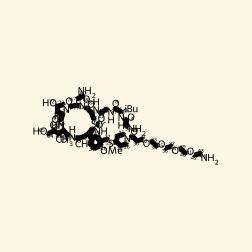 CCC(C)[C@H](NC(=O)CN)C(=O)NCC(=O)NC1C[S+]([O-])c2[nH]c3c(CSC4CCN(C(=O)CCOCCOCCOCCOCCN)CC4)c(OC)ccc3c2C[C@@H](C)NC(=O)[C@H]([C@@H](C)[C@@H](O)CO)NC(=O)[C@@H]2C[C@@H](O)CN2C(=O)[C@H](CC(N)=O)NC1=O